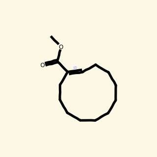 COC(=O)/C1=C\CCCCCCCCCC1